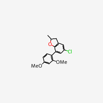 COc1ccc(-c2cc(Cl)cc3c2OC(C)C3)c(OC)c1